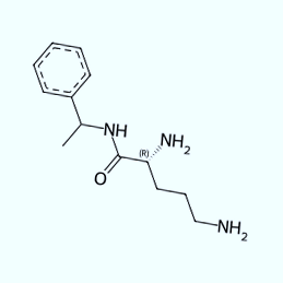 CC(NC(=O)[C@H](N)CCCN)c1ccccc1